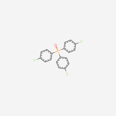 O=P(c1ccc(F)cc1)(c1ccc(F)cc1)c1ccc(F)cc1